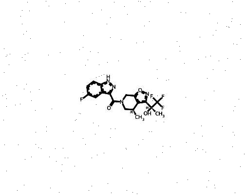 C[C@H]1CN(C(=O)c2n[nH]c3ccc(F)cc23)Cc2onc([C@@](C)(O)C(F)(F)F)c21